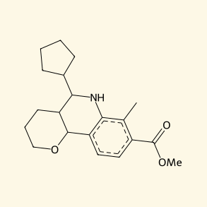 COC(=O)c1ccc2c(c1C)NC(C1CCCC1)C1CCCOC21